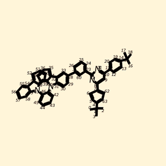 CC(C)(C)c1ccc(-c2cc(-c3ccc(C(C)(C)C)cc3)nc(-c3cccc(-c4ccc5c(c4)c4ccccc4n5-c4ccccc4-n4c5ccccc5c5ccccc54)c3)n2)cc1